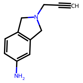 C#CCN1Cc2ccc(N)cc2C1